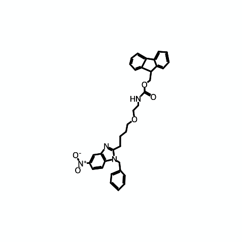 O=C(NCCOCCCCc1nc2cc([N+](=O)[O-])ccc2n1Cc1ccccc1)OCC1c2ccccc2-c2ccccc21